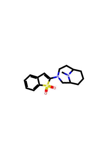 CN1C2CCCC1CN(C1=Cc3ccccc3S1(=O)=O)CC2